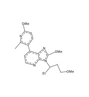 CCC(CCOC)n1c(OC)nc2c(-c3ccc(OC)nc3C)ccnc21